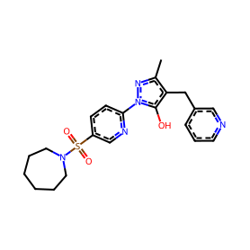 Cc1nn(-c2ccc(S(=O)(=O)N3CCCCCC3)cn2)c(O)c1Cc1cccnc1